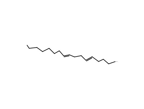 [CH2]CCCC=CCCC=CCCCCCCC